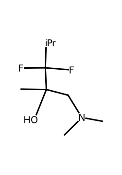 CC(C)C(F)(F)C(C)(O)CN(C)C